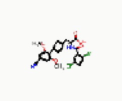 COc1cc(C#N)cc(OC)c1-c1ccc(C[C@H](NC(=O)c2cc(Cl)ccc2Br)C(=O)O)cc1